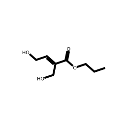 CCCOC(=O)C(=CCO)CO